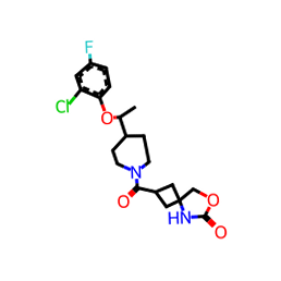 CC(Oc1ccc(F)cc1Cl)C1CCN(C(=O)C2CC3(COC(=O)N3)C2)CC1